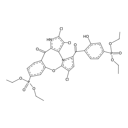 CCOP(=O)(OCC)c1ccc(C(=O)c2cc(Cl)c3n2-c2c([nH]c(Cl)c2Cl)C(=O)c2ccc(P(=O)(OCC)OCC)cc2O3)c(O)c1